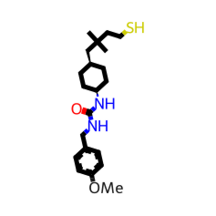 COc1ccc(CNC(=O)N[C@H]2CC[C@H](CC(C)(C)CCS)CC2)cc1